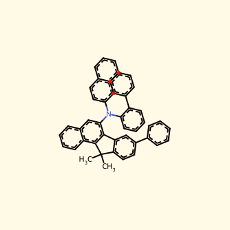 CC1(C)c2ccc(-c3ccccc3)cc2-c2c(N(c3ccc4ccccc4c3)c3ccccc3-c3ccccc3)cc3ccccc3c21